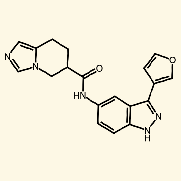 O=C(Nc1ccc2[nH]nc(-c3ccoc3)c2c1)C1CCc2cncn2C1